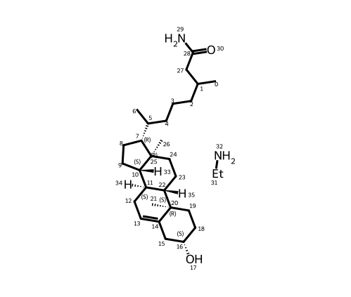 CC(CCCC(C)[C@H]1CC[C@H]2[C@@H]3CC=C4C[C@@H](O)CC[C@]4(C)[C@H]3CC[C@]12C)CC(N)=O.CCN